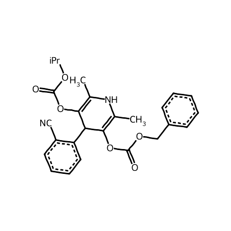 CC1=C(OC(=O)OCc2ccccc2)C(c2ccccc2C#N)C(OC(=O)OC(C)C)=C(C)N1